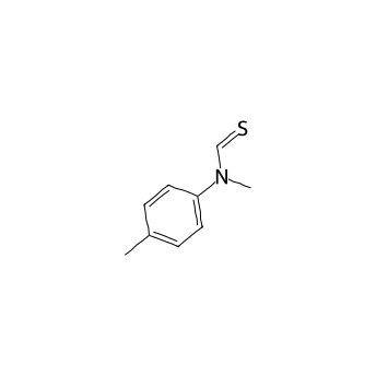 Cc1ccc(N(C)C=S)cc1